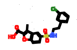 Cc1c(C(=O)O)oc2ccc(S(=O)(=O)NCCc3cccc(Cl)c3)cc12